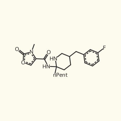 CCCCCC1(NC(=O)c2coc(=O)n2C)CCC(Cc2cccc(F)c2)CN1